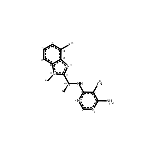 C[C@H](Nc1ncnc(N)c1C#N)c1nc2c(F)cccc2n1C